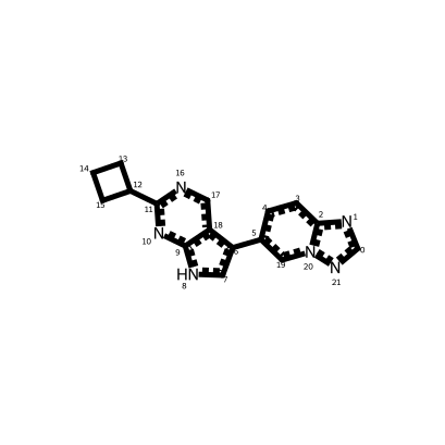 c1nc2ccc(-c3c[nH]c4nc(C5CCC5)ncc34)cn2n1